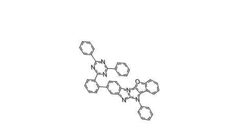 c1ccc(-c2nc(-c3ccccc3)nc(-c3ccccc3-c3ccc4c(c3)nc3n(-c5ccccc5)c5c6ccccc6oc5n43)n2)cc1